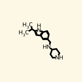 CC(C)c1cc2cc(CNC3CCNCC3)ccc2[nH]1